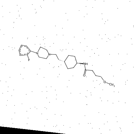 COCCCC(=O)N[C@H]1CC[C@H](CCN2CCN(c3ccccc3F)CC2)CC1